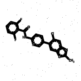 Cc1nc2cc(Cl)c(-c3ccc(NC(=O)c4c(F)cccc4F)nc3)cc2o1